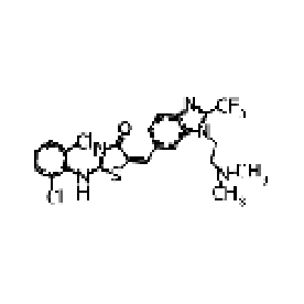 CN(C)CCn1c(C(F)(F)F)nc2ccc(C=C3SC(Nc4c(Cl)cccc4Cl)=NC3=O)cc21